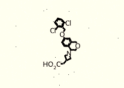 O=C(O)CC1CN(C2COCc3cc(OCc4c(Cl)cccc4Cl)ccc32)C1